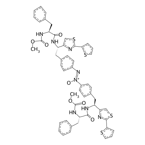 COC(=O)N[C@@H](Cc1ccccc1)C(=O)N[C@@H](Cc1ccc(/N=[N+](\[O-])c2ccc(C[C@H](NC(=O)[C@H](Cc3ccccc3)NC(=O)OC)c3csc(-c4cccs4)n3)cc2)cc1)c1csc(-c2cccs2)n1